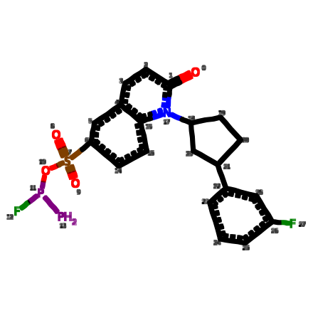 O=c1ccc2cc(S(=O)(=O)OP(F)P)ccc2n1C1CCC(c2cccc(F)c2)C1